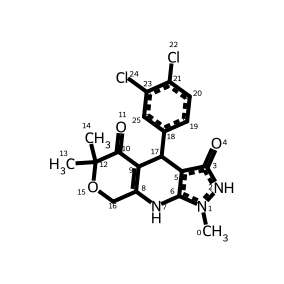 Cn1[nH]c(=O)c2c1NC1=C(C(=O)C(C)(C)OC1)C2c1ccc(Cl)c(Cl)c1